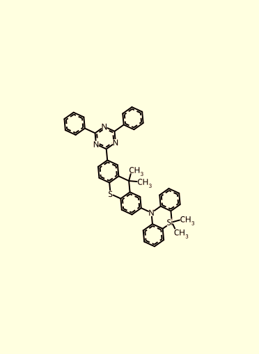 CC1(C)c2cc(-c3nc(-c4ccccc4)nc(-c4ccccc4)n3)ccc2Sc2ccc(N3c4ccccc4[Si](C)(C)c4ccccc43)cc21